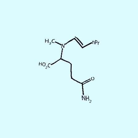 CCC/C=C/N(C)C(CCC(N)=O)C(=O)O